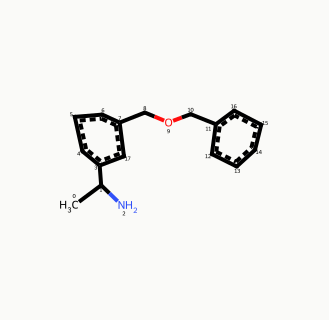 CC(N)c1cccc(COCc2ccccc2)c1